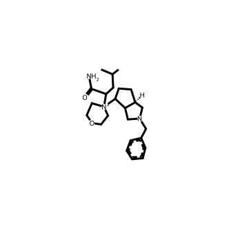 CC(C)CC(C(N)=O)[N+]1(C2CC[C@H]3CN(Cc4ccccc4)CC23)CCOCC1